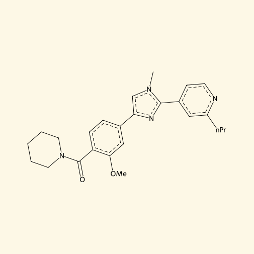 CCCc1cc(-c2nc(-c3ccc(C(=O)N4CCCCC4)c(OC)c3)cn2C)ccn1